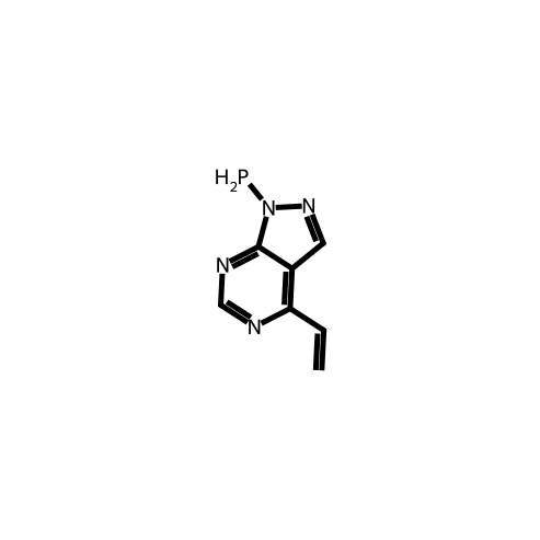 C=Cc1ncnc2c1cnn2P